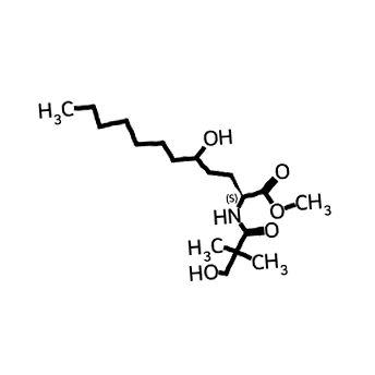 CCCCCCCC(O)CC[C@H](NC(=O)C(C)(C)CO)C(=O)OC